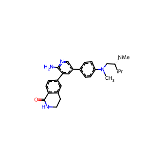 CN[C@@H](CN(C)c1ccc(-c2cnc(N)c(-c3ccc4c(c3)CCNC4=O)c2)cc1)C(C)C